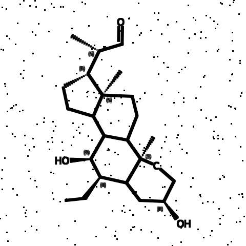 CC[C@@H]1C2C[C@H](O)CC[C@]2(C)C2CC[C@@]3(C)C(CC[C@@H]3[C@H](C)C=O)C2[C@@H]1O